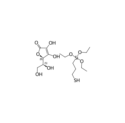 CCO[Si](CCCS)(OCC)OCC.O=C1O[C@H]([C@@H](O)CO)C(O)=C1O